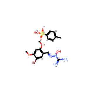 COc1cc(OC)c(/C=N/N(O)C(=N)N)cc1Br.Cc1ccc(S(=O)(=O)O)cc1